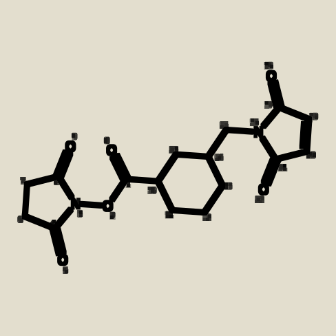 O=C(ON1C(=O)CCC1=O)C1CCCC(CN2C(=O)C=CC2=O)C1